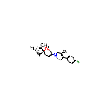 C=C(C)[C@@]1(C2CC2)CCC(N2CCC(c3ccc(F)cc3)[C@H](CC)C2)CO1